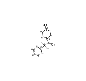 CCN1CCN(C(=O)C(C)(C)c2ccccc2)CC1